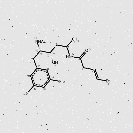 CCC=CCC(=O)NC(C)C[C@H](O)[C@H](Cc1cc(F)cc(F)c1)NC(C)=O